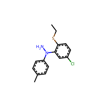 CCSc1ccc(Cl)cc1N(N)c1ccc(C)cc1